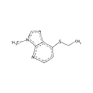 CCSc1ccnc2c1ncn2C